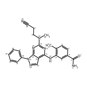 Cc1ccc(C(N)=O)cc1Nc1nc(N(C)CCC#N)nc2c1cnn2-c1ccccc1